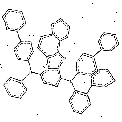 c1ccc(-c2ccc(N(c3ccccc3-c3ccccc3)c3ccc(N(c4ccccc4)c4ccc(-c5ccccc5)cc4)c4c3oc3c5ccccc5ccc34)cc2)cc1